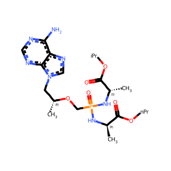 CCCOC(=O)[C@@H](C)NP(=O)(CO[C@H](C)Cn1cnc2c(N)ncnc21)N[C@@H](C)C(=O)OC(C)C